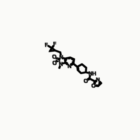 CN1c2nc(C3=CCC(NC(=O)c4ncco4)CC3)ccc2N(CC2CC2(F)F)S1(=O)=O